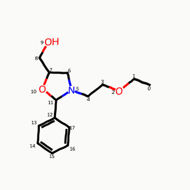 CCOCCN1CC(CO)OC1c1ccccc1